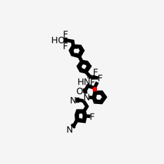 CC(C)[C@H](N[C@@H](c1ccc(-c2ccc(CC(O)(F)F)cc2)cc1)C(F)(F)F)C(=O)N(c1ccccc1)C(C#N)Cc1ccc(C#N)cc1F